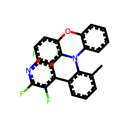 Cc1cccc(-c2c(F)c(F)nc(F)c2F)c1N1c2ccccc2Oc2ccccc21